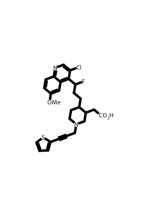 COc1ccc2ncc(Cl)c(C(F)CCC3CCN(CC#Cc4cccs4)CC3CC(=O)O)c2c1